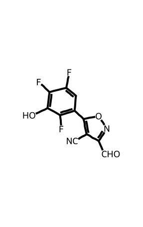 N#Cc1c(C=O)noc1-c1cc(F)c(F)c(O)c1F